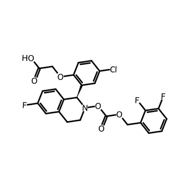 O=C(O)COc1ccc(Cl)cc1[C@@H]1c2ccc(F)cc2CCN1OC(=O)OCc1cccc(F)c1F